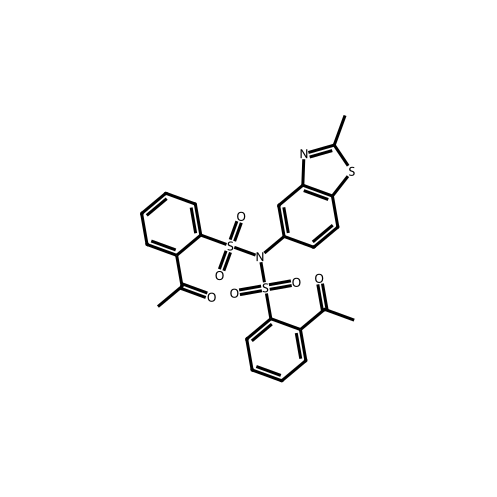 CC(=O)c1ccccc1S(=O)(=O)N(c1ccc2sc(C)nc2c1)S(=O)(=O)c1ccccc1C(C)=O